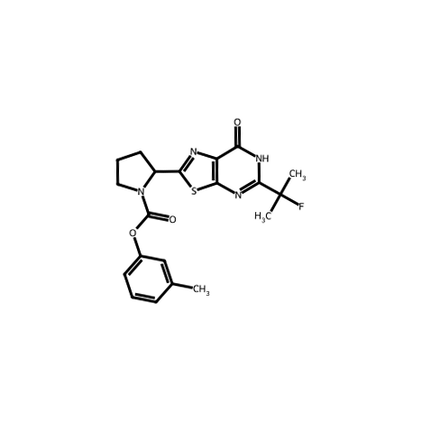 Cc1cccc(OC(=O)N2CCCC2c2nc3c(=O)[nH]c(C(C)(C)F)nc3s2)c1